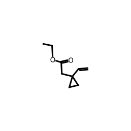 C=CC1(CC(=O)OCC)CC1